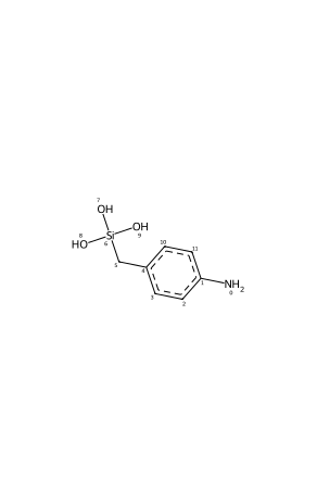 Nc1ccc(C[Si](O)(O)O)cc1